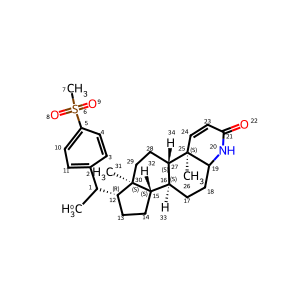 CC(c1ccc(S(C)(=O)=O)cc1)[C@H]1CC[C@H]2[C@@H]3CCC4NC(=O)C=C[C@]4(C)[C@H]3CC[C@]12C